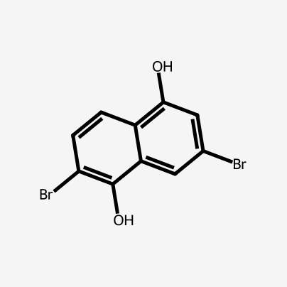 Oc1cc(Br)cc2c(O)c(Br)ccc12